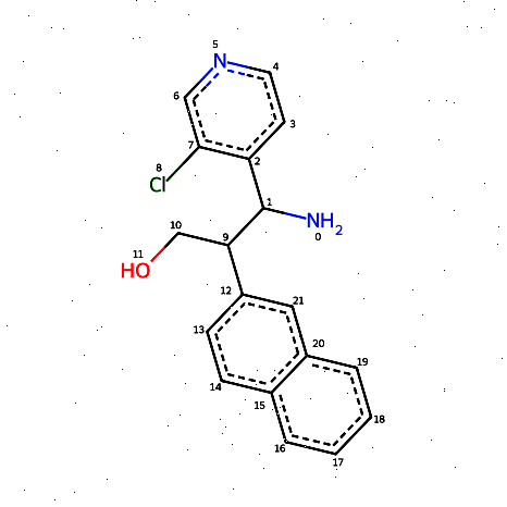 NC(c1ccncc1Cl)C(CO)c1ccc2ccccc2c1